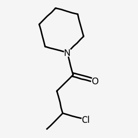 CC(Cl)CC(=O)N1CCCCC1